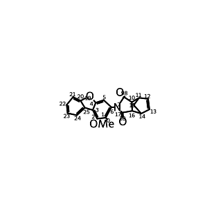 COc1cc2c(cc1N1C(=O)C3C4C=CC(C4)C3C1=O)oc1ccccc12